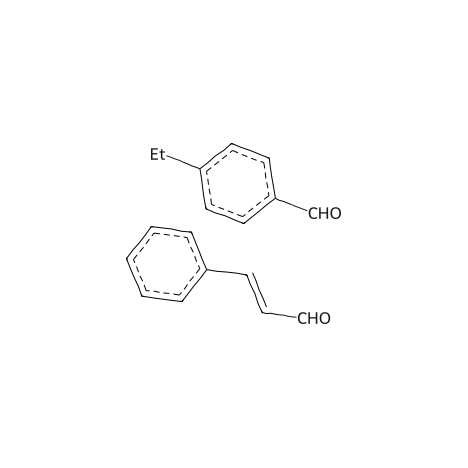 CCc1ccc(C=O)cc1.O=CC=Cc1ccccc1